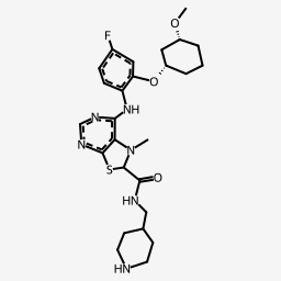 CO[C@@H]1CCC[C@H](Oc2cc(F)ccc2Nc2ncnc3c2N(C)C(C(=O)NCC2CCNCC2)S3)C1